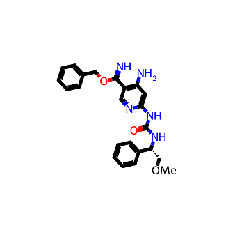 COC[C@@H](NC(=O)Nc1cc(N)c(C(=N)OCc2ccccc2)cn1)c1ccccc1